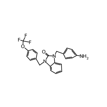 Nc1ccc(Cn2c(=O)n(Cc3ccc(OC(F)(F)F)cc3)c3ccccc32)cc1